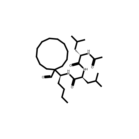 CCCC[C@H](NC(=O)[C@H](CC(C)C)NC(=O)[C@H](CC(C)C)NC(C)=O)C1(C=O)CCCCCCCCCCC1